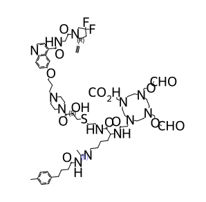 C#C[C@H]1CC(F)(F)CN1C(=O)CNC(=O)c1ccnc2ccc(OCCCN3CCN(C(=O)[C@H](O)CSCCNC(=O)C(CCCC/N=C(\C)NC(=O)CCCc4ccc(C)cc4)NC(=O)CN4CCN(COC=O)CCN(COC=O)CCN(CC(=O)O)CC4)CC3)cc12